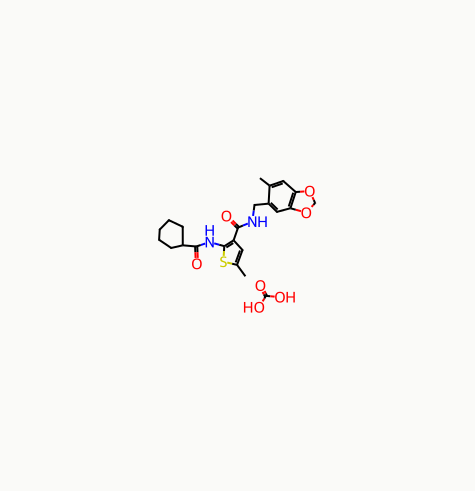 Cc1cc(C(=O)NCc2cc3c(cc2C)OCO3)c(NC(=O)C2CCCCC2)s1.O=C(O)O